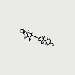 CCOc1ccc(C#Cc2ccc(C3CCC(C)CC3)cc2)c(F)c1F